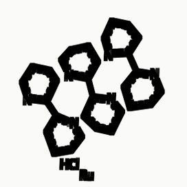 Cl.[Ru].c1ccc(-c2ccccn2)nc1.c1ccc(-c2ccccn2)nc1.c1ccc(-c2ccccn2)nc1